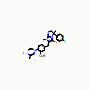 C=CN(/C=C(/C)N)c1ccc(/C=c2/c(=O)n3c(n2C)=NCC3(C)c2ccc(F)cc2)cc1OC